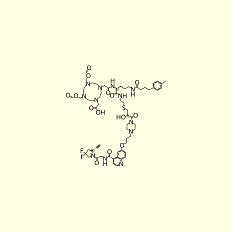 C#C[C@H]1CC(F)(F)CN1C(=O)CNC(=O)c1ccnc2ccc(OCCCN3CCN(C(=O)[C@H](O)CSCCNC(=O)[C@H](CCCNC(=O)CCCc4ccc(C)cc4)NC(=O)CN4CCN(COC=O)CCN(COC=O)CCN(CC(=O)O)CC4)CC3)cc12